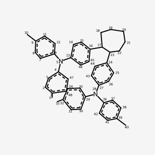 Cc1ccc(N(c2ccc(C)cc2)c2ccc(C3CCCCCC3c3ccc(N(c4ccc(C)cc4)c4ccc(C)cc4)cc3)cc2)cc1